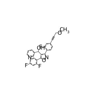 COCC#Cc1ccc(-c2noc(-c3ccc(F)cc3F)c2C(O)c2cccnc2)c(F)c1